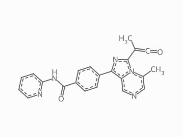 CC(=C=O)c1nc(-c2ccc(C(=O)Nc3ccccn3)cc2)c2cncc(C)n12